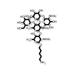 CC(=O)N[C@H]1C(O)[C@H](O)C(C)O[C@H]1O[C@H]1C(O)[C@H](O)C(C(=O)O)O[C@H]1OC1[C@H](O[C@@H]2OC(CO)[C@@H](O)C(O)[C@@H]2O)C(C)O[C@@H](OC2[C@H](O)C(C)O[C@@H](OCCCCCN)[C@H]2NC(C)=O)[C@H]1NC(C)=O